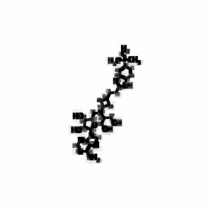 CC(C)(C)c1ccc2[nH]c(CCC3CC(N(C[C@H]4O[C@@H](n5cnc6c(N)ncnc65)[C@H](O)[C@@H]4O)C(CO)CO)C3)nc2c1